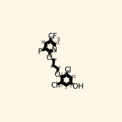 Oc1cc(Cl)c(OCCCOc2ncc(C(F)(F)F)cc2F)c(Cl)c1